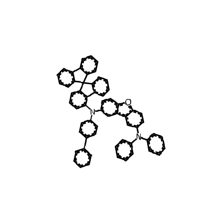 c1ccc(-c2ccc(N(c3ccc4oc5ccc(N(c6ccccc6)c6ccccc6)cc5c4c3)c3cccc4c3-c3ccccc3C43c4ccccc4-c4ccccc43)cc2)cc1